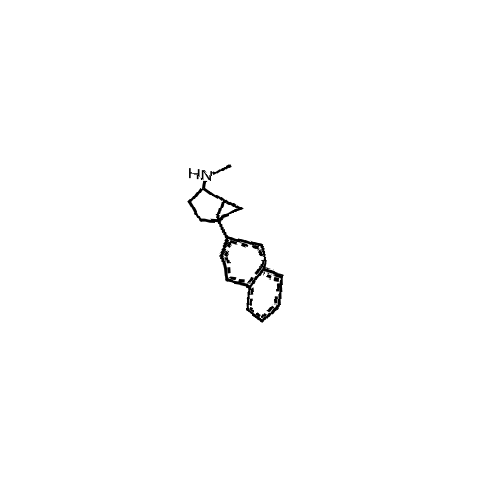 CNC1CCC2(c3ccc4ccccc4c3)CC12